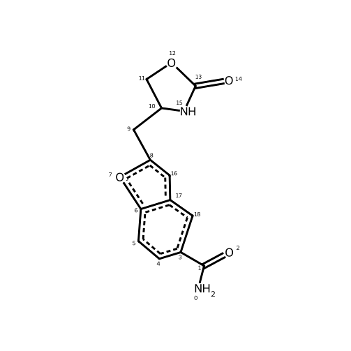 NC(=O)c1ccc2oc(CC3COC(=O)N3)cc2c1